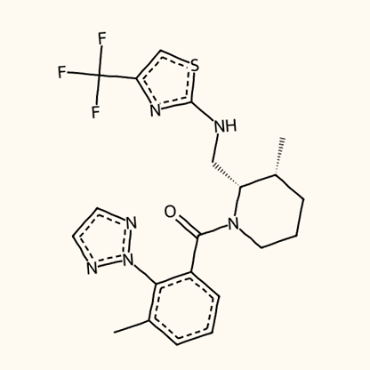 Cc1cccc(C(=O)N2CCC[C@@H](C)[C@H]2CNc2nc(C(F)(F)F)cs2)c1-n1nccn1